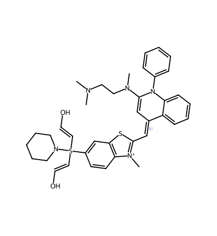 CN(C)CCN(C)C1=C/C(=C\c2sc3cc(S(C=CO)(C=CO)N4CCCCC4)ccc3[n+]2C)c2ccccc2N1c1ccccc1